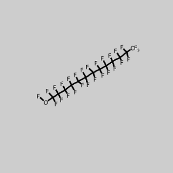 FOC(F)(F)C(F)(F)C(F)(F)C(F)(F)C(F)(F)C(F)(F)C(F)(F)C(F)(F)C(F)(F)C(F)(F)C(F)(F)C(F)(F)C(F)(F)F